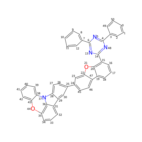 c1ccc(-c2nc(-c3ccccc3)nc(-c3cccc4c3oc3cc(-c5ccc6c(c5)c5cccc7c5n6-c5ccccc5O7)ccc34)n2)cc1